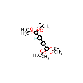 C=C(C)C(=O)Oc1cc(OC(=O)C(=C)C)cc(-c2ccc(-c3ccc(-c4cc(OC(=O)C(=C)C)cc(OC(=O)C(=C)C)c4)c(F)c3)cc2)c1